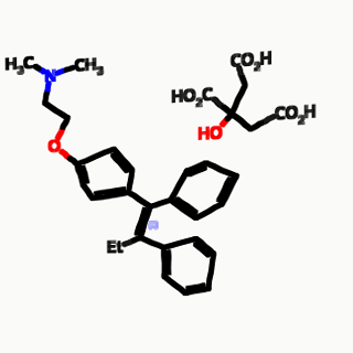 CC/C(=C(/c1ccccc1)c1ccc(OCCN(C)C)cc1)c1ccccc1.O=C(O)CC(O)(CC(=O)O)C(=O)O